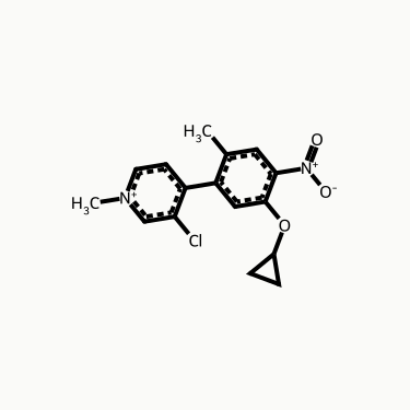 Cc1cc([N+](=O)[O-])c(OC2CC2)cc1-c1cc[n+](C)cc1Cl